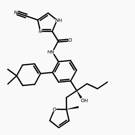 CCC[C@](O)(C[C@]1(C)C=CCO1)c1ccc(NC(=O)c2nc(C#N)c[nH]2)c(C2=CCC(C)(C)CC2)c1